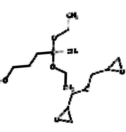 C(OCC1CO1)C1CO1.CCO[Si](C)(CCCO)OCC